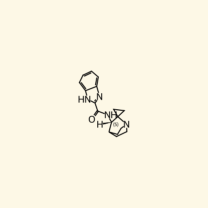 O=C(N[C@H]1C2CCN(CC2)C12CC2)c1nc2ccccc2[nH]1